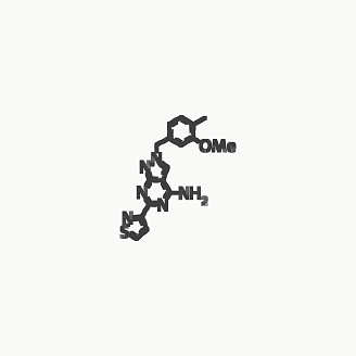 COc1cc(Cn2cc3c(N)nc(-c4ccsn4)nc3n2)ccc1C